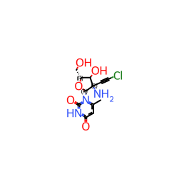 Cc1cc(=O)[nH]c(=O)n1[C@@H]1O[C@H](CO)C(O)[C@]1(N)C#CCl